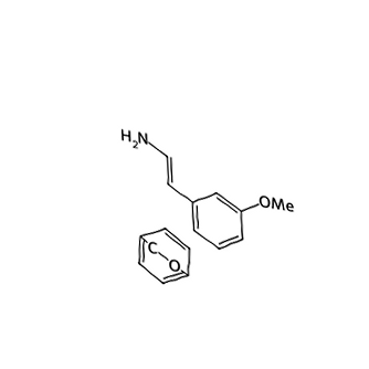 COc1cccc(C=CN)c1.c1cc2ccc1CO2